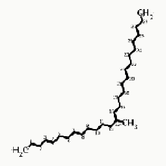 [CH2]CCC=CCCCCCCCCC(C)CCCCCCCCCCCCCC[CH2]